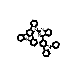 c1ccc(-n2c3ccccc3c3ccc(-c4nc(-n5c6ccccc6c6cc7c8ccccc8n8c9ccccc9c(c65)c78)nc5ccccc45)cc32)cc1